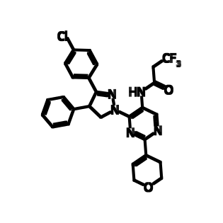 O=C(CC(F)(F)F)Nc1cnc(C2=CCOCC2)nc1N1CC(c2ccccc2)C(c2ccc(Cl)cc2)=N1